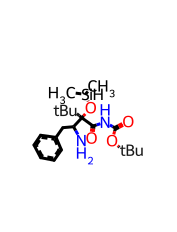 C[SiH](C)OC(C(=O)NC(=O)OC(C)(C)C)(C(N)Cc1ccccc1)C(C)(C)C